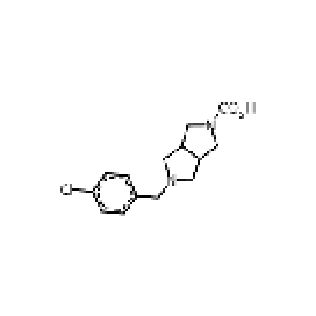 O=C(O)N1CC2CN(Cc3ccc(Cl)cc3)CC2C1